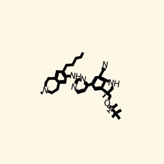 CCCCCc1cc2c(cc1Nc1nccc(-c3cc(C#N)c4c(c3)[C@@](C)(CO[Si](C)(C)C(C)(C)C)CN4)n1)CCN(C)CC2